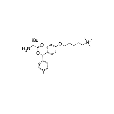 CCC(C)C(N)C(=O)OC(c1ccc(C)cc1)c1ccc(OCCCCC[N+](C)(C)C)cc1